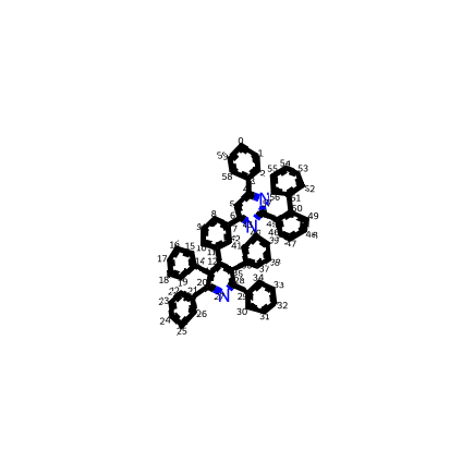 c1ccc(-c2cc(-c3cccc(-c4c(-c5ccccc5)c(-c5ccccc5)nc(-c5ccccc5)c4-c4ccccc4)c3)nc(-c3ccccc3-c3ccccc3)n2)cc1